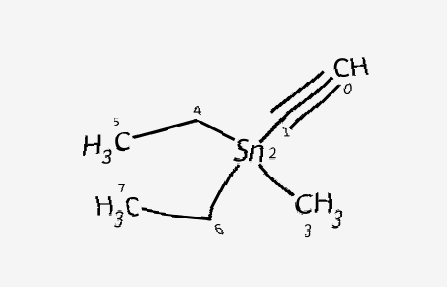 C#[C][Sn]([CH3])([CH2]C)[CH2]C